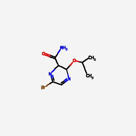 CC(C)OC1N=CC(Br)=NC1C(N)=O